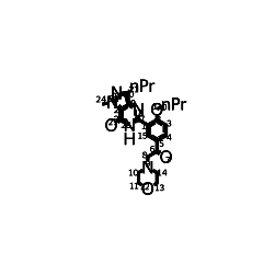 CCCOc1ccc(C(=O)CN2CCOCC2)cc1-c1nc2c(CCC)nn(C)c2c(=O)[nH]1